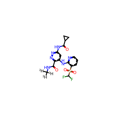 [2H]C([2H])([2H])NC(=O)c1nnc(NC(=O)C2CC2)cc1Nc1ncccc1S(=O)(=O)C(F)F